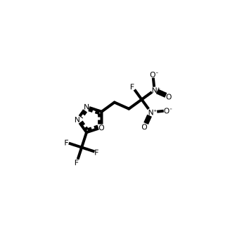 O=[N+]([O-])C(F)(CCc1nnc(C(F)(F)F)o1)[N+](=O)[O-]